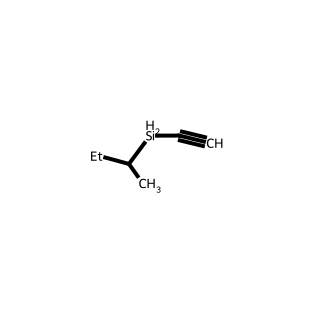 C#C[SiH2]C(C)CC